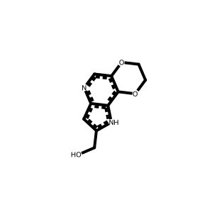 OCc1cc2ncc3c(c2[nH]1)OCCO3